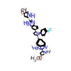 CO[C@@H]1CN[C@H](c2nc3ccc([C@H]4CC[C@@H](c5ccc6nc([C@@H]7C[C@H](OC)CN7)[nH]c6c5)N4c4ccc(F)cc4)cc3[nH]2)C1